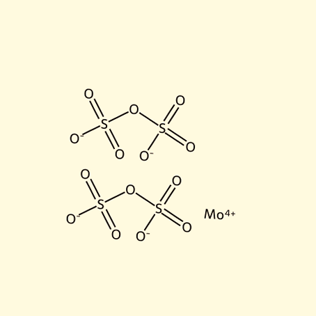 O=S(=O)([O-])OS(=O)(=O)[O-].O=S(=O)([O-])OS(=O)(=O)[O-].[Mo+4]